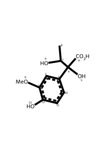 COc1cc(C(O)(C(=O)O)C(C)O)ccc1O